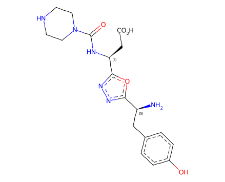 N[C@@H](Cc1ccc(O)cc1)c1nnc([C@H](CC(=O)O)NC(=O)N2CCNCC2)o1